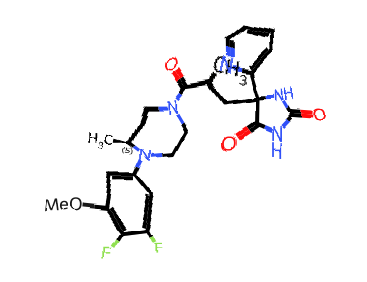 COc1cc(N2CCN(C(=O)C(C)CC3(c4ccccn4)NC(=O)NC3=O)C[C@@H]2C)cc(F)c1F